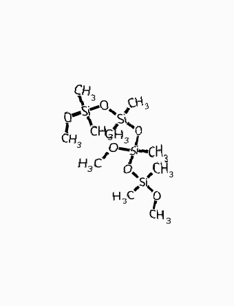 CO[Si](C)(C)O[Si](C)(C)O[Si](C)(OC)O[Si](C)(C)OC